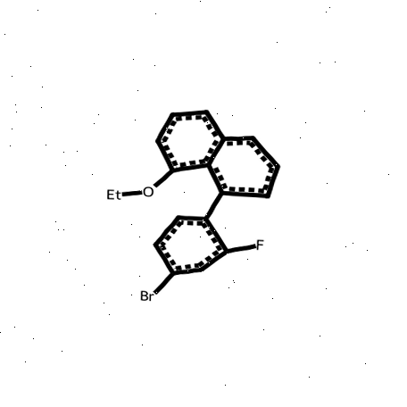 CCOc1cccc2cccc(-c3ccc(Br)cc3F)c12